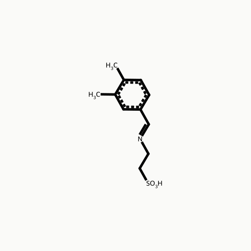 Cc1ccc(C=NCCS(=O)(=O)O)cc1C